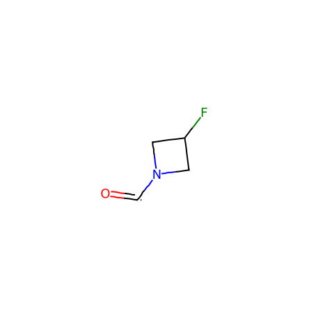 O=[C]N1CC(F)C1